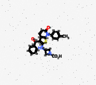 Cc1ccc(-n2c(=O)ccc3c(C(=O)c4ccccc4)c(NC4CN(C(=O)O)C4)sc32)cc1